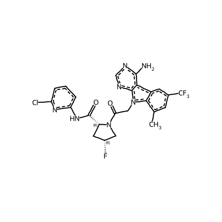 Cc1cc(C(F)(F)F)cc2c3c(N)ncnc3n(CC(=O)N3C[C@H](F)C[C@@H]3C(=O)Nc3cccc(Cl)n3)c12